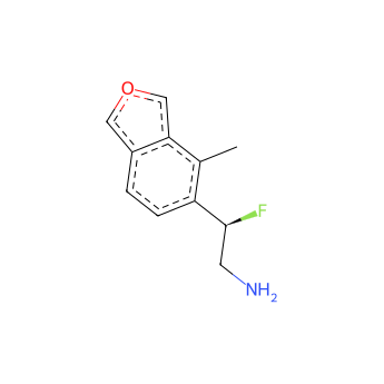 Cc1c([C@@H](F)CN)ccc2cocc12